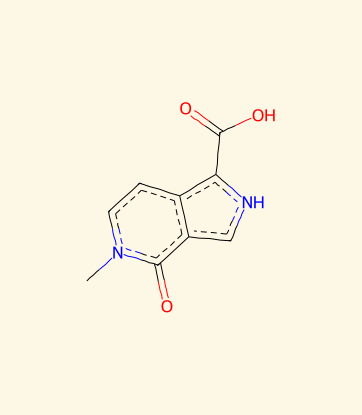 Cn1ccc2c(C(=O)O)[nH]cc2c1=O